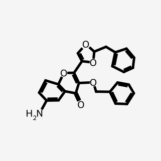 Nc1ccc2oc(C3=COC(Cc4ccccc4)O3)c(OCc3ccccc3)c(=O)c2c1